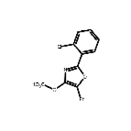 CCc1oc(-c2ccccc2Cl)nc1OC(=O)O